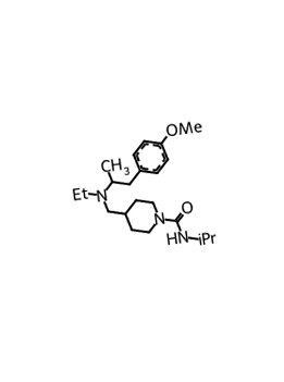 CCN(CC1CCN(C(=O)NC(C)C)CC1)C(C)Cc1ccc(OC)cc1